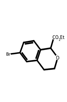 CCOC(=O)C1OCCc2cc(Br)ccc21